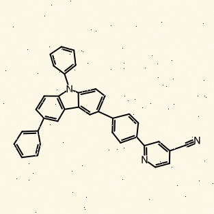 N#Cc1ccnc(-c2ccc(-c3ccc4c(c3)c3cc(-c5ccccc5)ccc3n4-c3ccccc3)cc2)c1